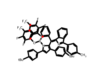 Cc1ccc(C2=N/C(=C(/c3ccccc3)c3c(-c4ccc(C(C)(C)C)cc4)cc(-c4ccc(C(C)(C)C)cc4)n3B(Oc3c(F)c(F)c(C(F)(F)F)c(F)c3F)Oc3c(F)c(F)c(C(F)(F)F)c(F)c3F)c3ccccc32)cc1